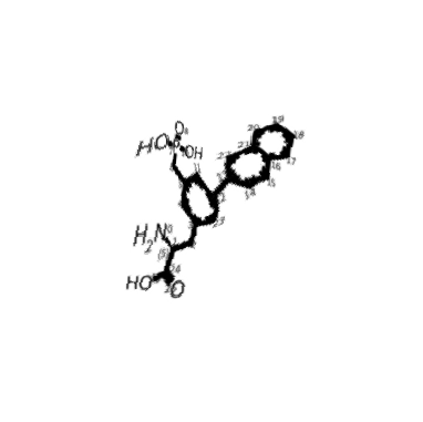 N[C@@H](Cc1cc(CP(=O)(O)O)cc(-c2ccc3ccccc3c2)c1)C(=O)O